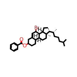 CC(C)CCC[C@@H](C)[C@H]1CC[C@H]2[C@@H]3C(Br)C=C4CC(OC(=O)c5ccccc5)CC[C@]4(C)[C@H]3CC[C@]12C